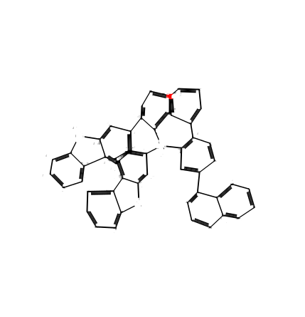 c1ccc(-c2ccc(-c3cccc4ccccc34)cc2N(c2ccc3c(c2)sc2ccccc23)c2ccccc2-c2ccc3c(c2)oc2ccccc23)cc1